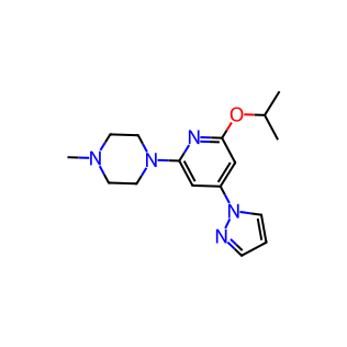 CC(C)Oc1cc(-n2cccn2)cc(N2CCN(C)CC2)n1